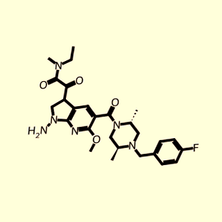 CCN(C)C(=O)C(=O)C1CN(N)c2nc(OC)c(C(=O)N3C[C@H](C)N(Cc4ccc(F)cc4)C[C@H]3C)cc21